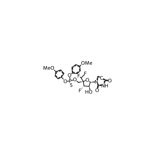 COc1ccc(OP(=S)(OC[C@@]2(C(F)F)O[C@@H](n3ccc(=O)[nH]c3=O)[C@@H](O)[C@@H]2F)Oc2ccc(OC)cc2)cc1